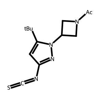 CC(=O)N1CC(n2nc(N=C=S)cc2C(C)(C)C)C1